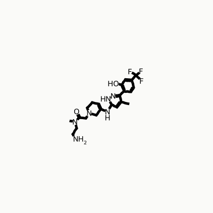 CC1=CC(NC2=CCCN(CC(=O)N(C)CCN)C2)NN=C1c1ccc(C(F)(F)F)cc1O